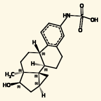 C[C@]12CC[C@@H]3c4ccc(NS(=O)(=O)O)cc4CC[C@H]3[C@@]13C[C@H]3C[C@H]2O